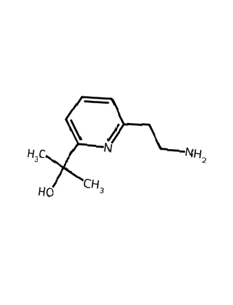 CC(C)(O)c1cccc(CCN)n1